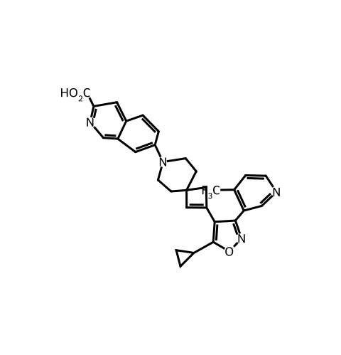 O=C(O)c1cc2ccc(N3CCC4(C=C(c5c(-c6cnccc6C(F)(F)F)noc5C5CC5)C4)CC3)cc2cn1